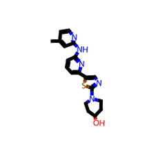 Cc1ccnc(Nc2cccc(-c3cnc(N4CCC(O)CC4)s3)n2)c1